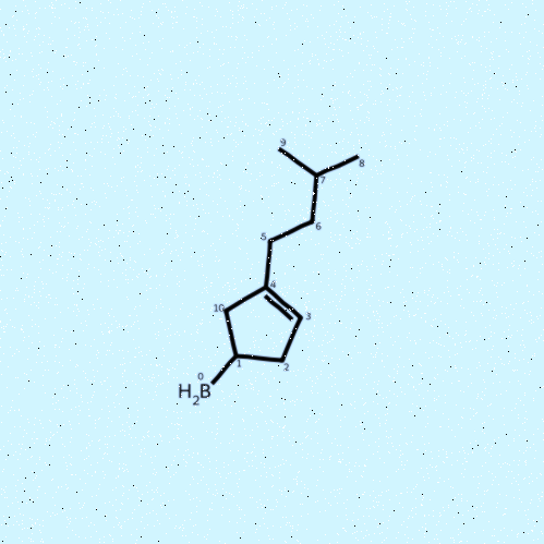 BC1CC=C(CCC(C)C)C1